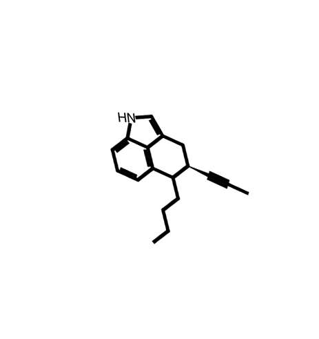 CC#C[C@@H]1Cc2c[nH]c3cccc(c23)C1CCCC